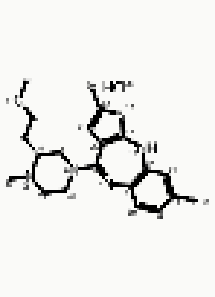 COCC[C@H]1CN(C2=Nc3ccc(F)cc3Nc3sc(C)cc32)CCN1C.Cl